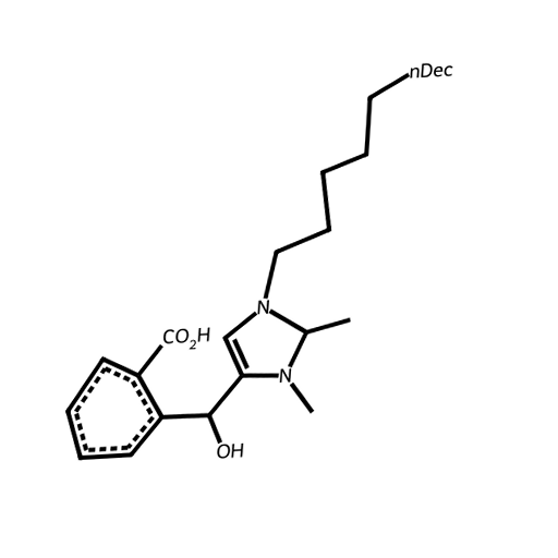 CCCCCCCCCCCCCCCN1C=C(C(O)c2ccccc2C(=O)O)N(C)C1C